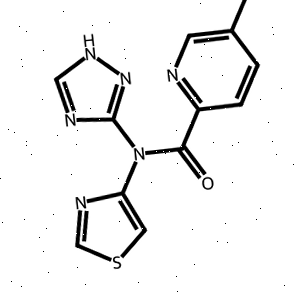 Cc1ccc(C(=O)N(c2cscn2)c2nc[nH]n2)nc1